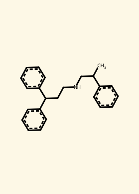 CC(CNCCC(c1ccccc1)c1ccccc1)c1ccccc1